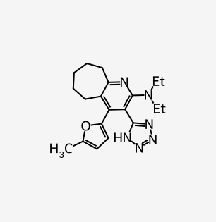 CCN(CC)c1nc2c(c(-c3ccc(C)o3)c1-c1nnn[nH]1)CCCCC2